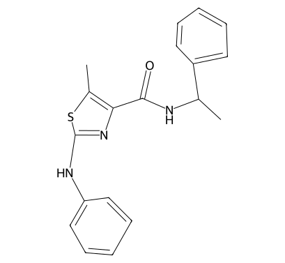 Cc1sc(Nc2ccccc2)nc1C(=O)NC(C)c1ccccc1